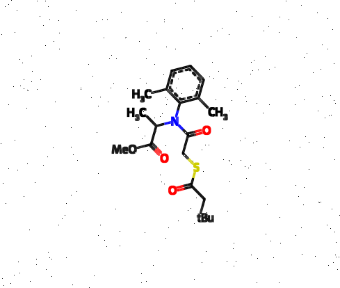 COC(=O)C(C)N(C(=O)CSC(=O)CC(C)(C)C)c1c(C)cccc1C